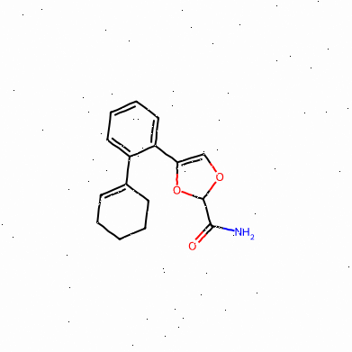 NC(=O)C1O[C]=C(c2ccccc2C2=CCCCC2)O1